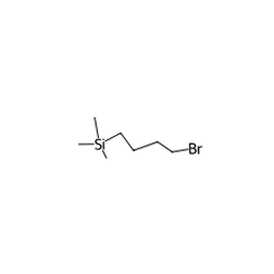 C[Si](C)(C)CCCCBr